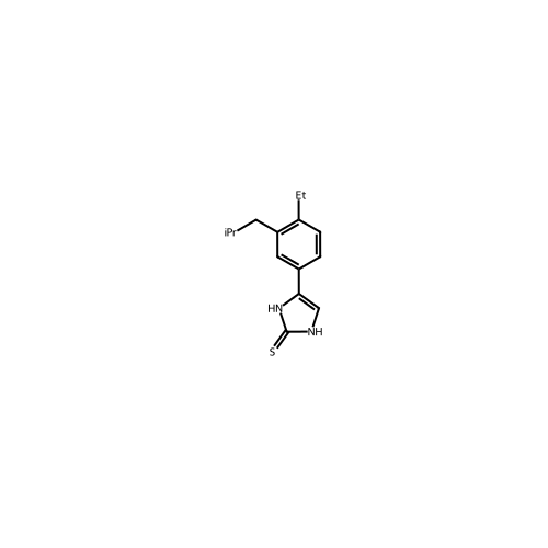 CCc1ccc(-c2c[nH]c(=S)[nH]2)cc1CC(C)C